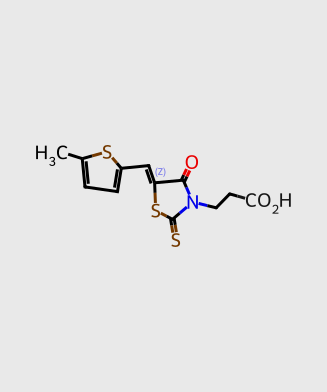 Cc1ccc(/C=C2\SC(=S)N(CCC(=O)O)C2=O)s1